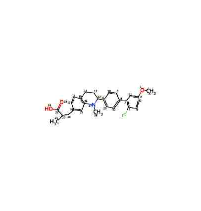 COc1ccc(F)c(-c2ccc(C3CCc4ccc(CC(C)C(=O)O)cc4N3C)cc2)c1